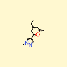 CC[C@H]1C[C@@H](C)O[C@@H](c2cnn(C)c2)C1